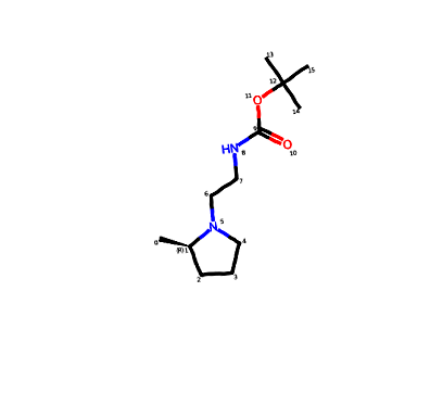 C[C@@H]1CCCN1CCNC(=O)OC(C)(C)C